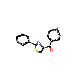 O=C(c1ccc(F)cc1)c1csc(-c2ccccc2)n1